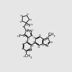 Cc1ccc(-c2cnn(CC3(F)CCCC3)c2F)c(-c2ccc3c(c2)ncn3C)n1